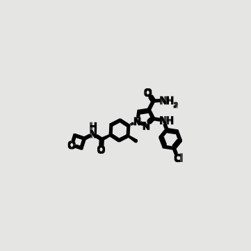 C[C@H]1C[C@@H](C(=O)NC2COC2)CC[C@@H]1n1cc(C(N)=O)c(Nc2ccc(Cl)cc2)n1